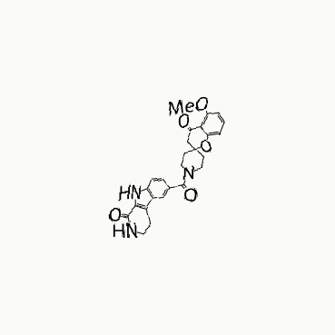 COc1cccc2c1C(=O)CC1(CCN(C(=O)c3ccc4[nH]c5c(c4c3)CCNC5=O)CC1)O2